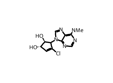 CNc1ncnc2c1ncn2C1C(Cl)=C[C@H](O)[C@H]1O